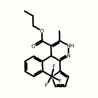 CCCOC(=O)C1=C(C)NN=C(c2ccco2)C1c1ccccc1C(F)(F)F